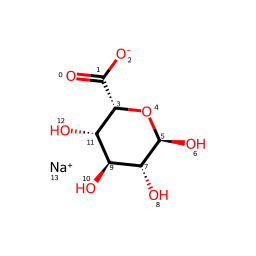 O=C([O-])[C@@H]1O[C@@H](O)[C@H](O)[C@@H](O)[C@@H]1O.[Na+]